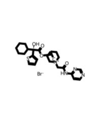 O=C(C[N+]12CCC(CC1)C(OC(=O)[C@@](O)(c1cccs1)C1CCCCC1)C2)Nc1ccncn1.[Br-]